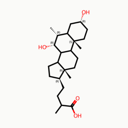 CC(CC[C@H]1CCC2C3C(CC[C@@]21C)[C@@]1(C)CC[C@@H](O)CC1[C@@H](C)[C@H]3O)C(=O)O